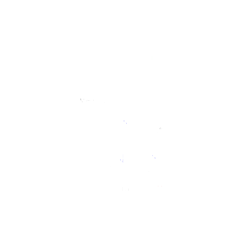 COc1cnc(O[C@@H]2CCN(C(=O)C(Nc3ccccc3)C(C)(C)C)C2)c2cc(Cl)ccc12